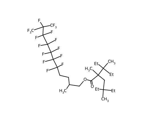 CCC(C)(CC)CC(C)(C(=O)OCC(C)CCC(F)(F)C(F)(F)C(F)(F)C(F)(F)C(F)(F)C(F)(C(F)(F)F)C(F)(F)F)C(C)(CC)CC